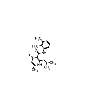 Cc1cc(=O)c(C(=O)Nc2cccc(C)c2C)c(CC(C)C)[nH]1